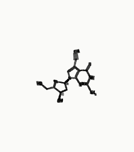 C#Cc1cn([C@H]2C[C@@H](O)C(CO)O2)c2nc(N)[nH]c(=O)c12